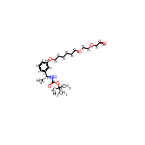 C[C@@H](NC(=O)OC(C)(C)C)c1cccc(OCCCCCCOCCOCC=O)c1